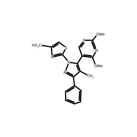 COc1ncc(-c2c(C)c(-c3ccccc3)nn2-c2nc(C(=O)O)cs2)c(OC)n1